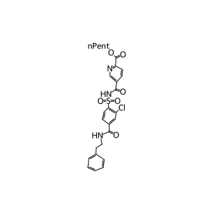 CCCCCOC(=O)c1ccc(C(=O)NS(=O)(=O)c2ccc(C(=O)NCCc3ccccc3)cc2Cl)cn1